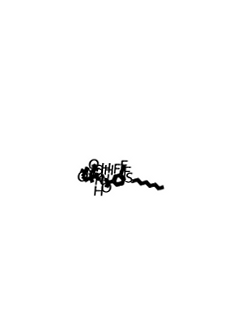 CCCCCCCCSc1ccc(C(=O)NNC(=O)C2(C)COC(C)(C)N2C(=O)O)cc1C(F)(F)F